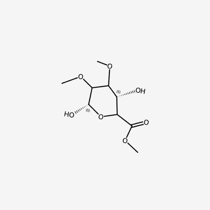 COC(=O)C1O[C@H](O)C(OC)C(OC)[C@@H]1O